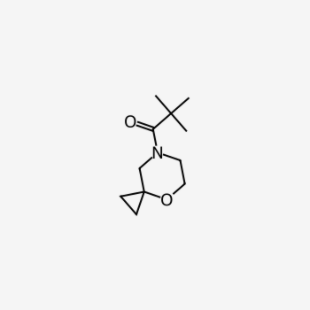 CC(C)(C)C(=O)N1CCOC2(CC2)C1